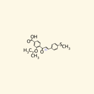 CSc1ccc(/C=C/C(=O)c2ccc(C(=O)O)cc2OC(C)C)cc1